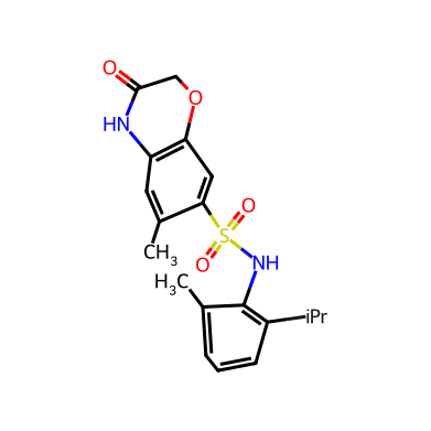 Cc1cc2c(cc1S(=O)(=O)Nc1c(C)cccc1C(C)C)OCC(=O)N2